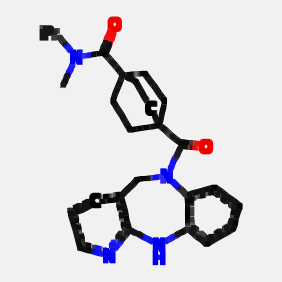 CC(C)N(C)C(=O)C12CCC(C(=O)N3Cc4cccnc4Nc4ccccc43)(CC1)CC2